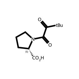 CC(C)(C)C(=O)C(=O)N1CCC[C@H]1C(=O)O